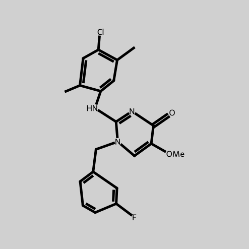 COc1cn(Cc2cccc(F)c2)c(Nc2cc(C)c(Cl)cc2C)nc1=O